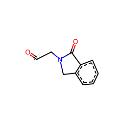 O=[C]CN1Cc2ccccc2C1=O